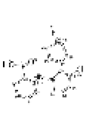 O=C(O)c1ccccc1Nc1cccc(Cl)c1-c1ccc(F)cc1